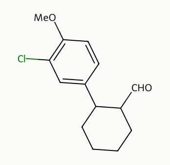 COc1ccc(C2CCCCC2C=O)cc1Cl